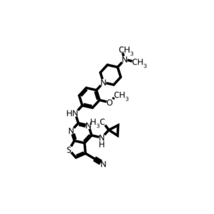 COc1cc(Nc2nc(NC3(C)CC3)c3c(C#N)csc3n2)ccc1N1CCC(N(C)C)CC1